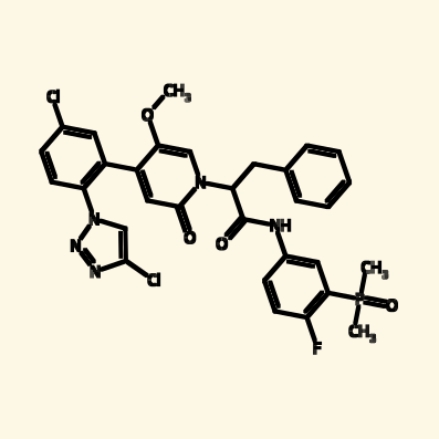 COc1cn(C(Cc2ccccc2)C(=O)Nc2ccc(F)c(P(C)(C)=O)c2)c(=O)cc1-c1cc(Cl)ccc1-n1cc(Cl)nn1